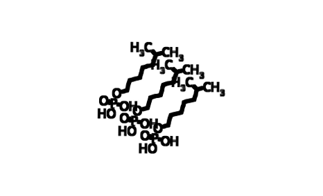 CC(C)CCCCCOP(=O)(O)O.CC(C)CCCCCOP(=O)(O)O.CC(C)CCCCCOP(=O)(O)O